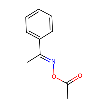 CC(=O)ON=C(C)c1ccccc1